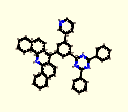 c1ccc(-c2nc(-c3ccccc3)nc(-c3cc(-c4cccnc4)cc(-c4c5ccc6ccccc6c5nc5c4ccc4ccccc45)c3)n2)cc1